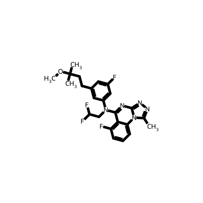 COC(C)(C)CCc1cc(F)cc(N(CC(F)F)c2nc3nnc(C)n3c3cccc(F)c23)c1